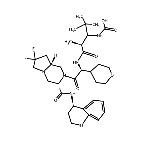 C[C@H](C(=O)N[C@H](C(=O)N1C[C@H]2CC(F)(F)CN2C[C@H]1C(=O)N[C@@H]1CCOc2ccccc21)C1CCOCC1)C(NC(=O)O)C(C)(C)C